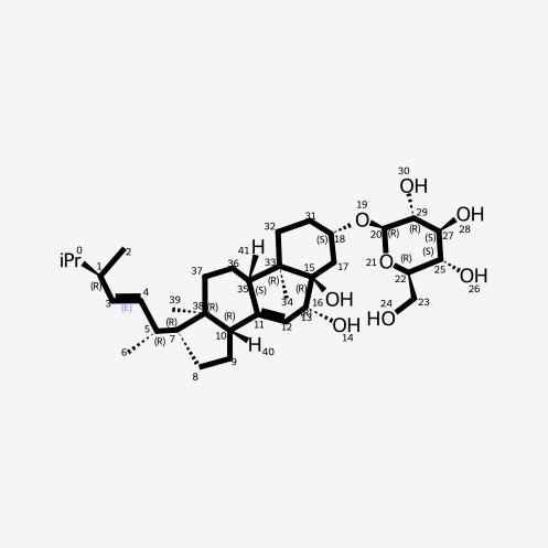 CC(C)[C@@H](C)/C=C/[C@@H](C)[C@H]1CC[C@H]2C3=C[C@@H](O)[C@@]4(O)C[C@@H](O[C@@H]5O[C@H](CO)[C@@H](O)[C@H](O)[C@H]5O)CC[C@]4(C)[C@H]3CC[C@]12C